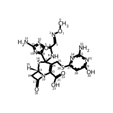 CON=CC(=O)NC1(c2csc(N)n2)S[C@H]2CC(=O)N2C(C(=O)O)=C1CSc1cc(O)nc(N)n1